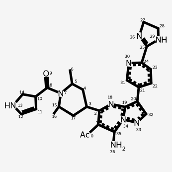 CC(=O)c1c(C2CC(C)N(C(=O)C3C=CNC3)C(C)C2)nc2c(-c3ccc(C4=NCCN4)nc3)cnn2c1N